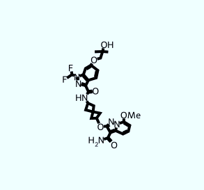 COc1cccc2c(C(N)=O)c(OC3CC4(CC(NC(=O)c5nn(C(F)F)c6cc(OCC(C)(C)O)ccc56)C4)C3)nn12